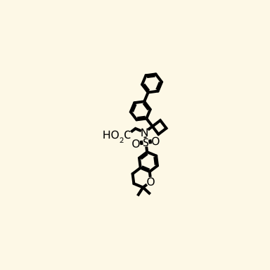 CC1(C)CCc2cc(S(=O)(=O)N(CC(=O)O)C3(c4cccc(-c5ccccc5)c4)CCC3)ccc2O1